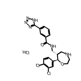 Cl.O=C(NC[C@@H]1CNCCO[C@H]1c1ccc(Cl)c(Cl)c1)c1cccc(-c2nnn[nH]2)c1